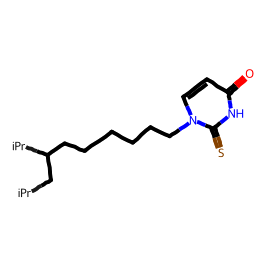 CC(C)CC(CCCCCCn1ccc(=O)[nH]c1=S)C(C)C